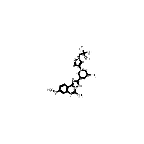 COc1ccc2c(c1)nc(N)n1nc(C3CC(C)CN(c4cnn(CC(C)(C)O)c4)C3)nc21